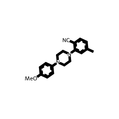 COc1ccc(N2CCN(c3cc(C)ccc3C#N)CC2)cc1